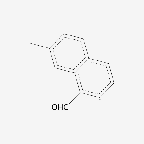 Cc1ccc2cc[c]c(C=O)c2c1